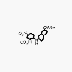 COc1ccc2ccc(Nc3ccc([N+](=O)[O-])cc3C(=O)O)cc2c1